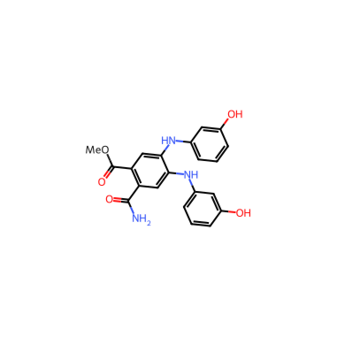 COC(=O)c1cc(Nc2cccc(O)c2)c(Nc2cccc(O)c2)cc1C(N)=O